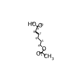 CC(=O)OCCCC=CC(=O)O